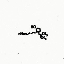 CCCCCCCCCCCCCCc1ccccc1CN(C)C.Cl